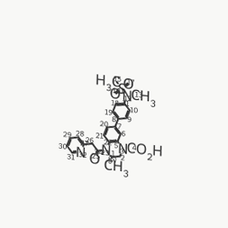 C[C@H]1CN(C(=O)O)c2cc(-c3ccc(N(C)S(C)(=O)=O)cc3)ccc2N1C(=O)Cc1ccccn1